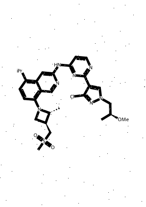 CO[C@@H](C)Cn1cc(-c2nccc(Nc3cc4c(C(C)C)ccc(N5C[C@H](CS(C)(=O)=O)[C@H]5C)c4cn3)n2)c(Cl)n1